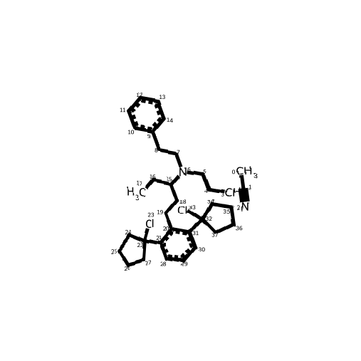 CC#N.CCCN(CCc1ccccc1)C(CC)CCc1c(C2(Cl)CCCC2)cccc1C1(Cl)CCCC1